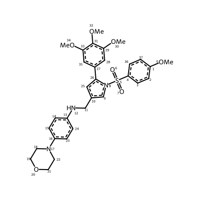 COc1ccc(S(=O)(=O)n2cc(CNc3ccc(N4CCOCC4)cc3)cc2-c2cc(OC)c(OC)c(OC)c2)cc1